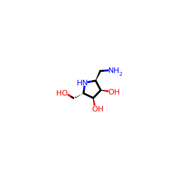 NC[C@@H]1N[C@@H](CO)[C@H](O)[C@@H]1O